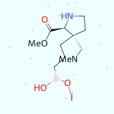 CNC[C@@]1(CCCB(O)OI)CCN[C@@H]1C(=O)OC